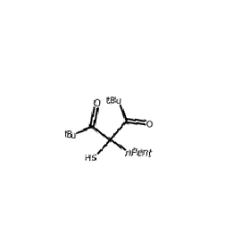 CCCCCC(S)(C(=O)C(C)(C)C)C(=O)C(C)(C)C